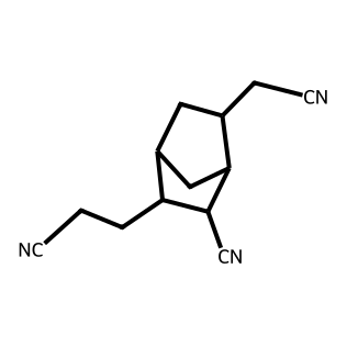 N#CCCC1C2CC(CC#N)C(C2)C1C#N